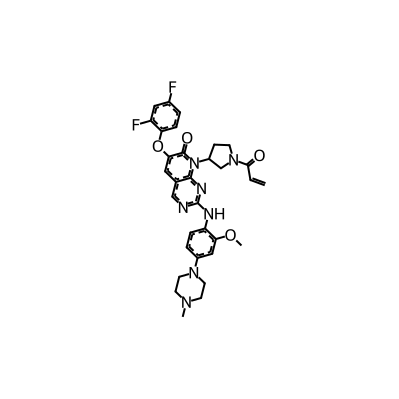 C=CC(=O)N1CCC(n2c(=O)c(Oc3ccc(F)cc3F)cc3cnc(Nc4ccc(N5CCN(C)CC5)cc4OC)nc32)C1